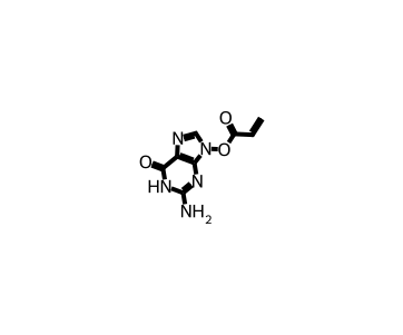 C=CC(=O)On1cnc2c(=O)[nH]c(N)nc21